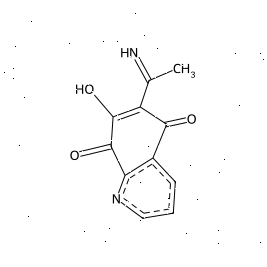 CC(=N)C1=C(O)C(=O)c2ncccc2C1=O